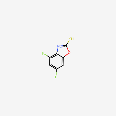 Fc1cc(F)c2nc(S)oc2c1